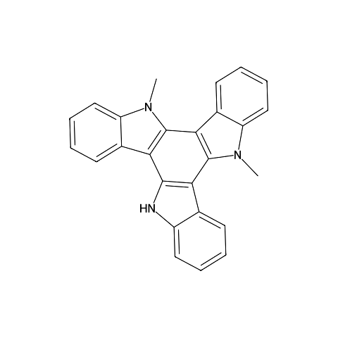 Cn1c2ccccc2c2c3[nH]c4ccccc4c3c3c(c4ccccc4n3C)c21